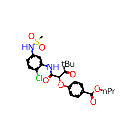 CCCOC(=O)c1ccc(OC(C(=O)Nc2cc(NS(C)(=O)=O)ccc2Cl)C(=O)C(C)(C)C)cc1